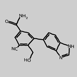 N#Cc1cc(C(N)=O)cc(-c2ccc3[nH]cnc3c2)c1CO